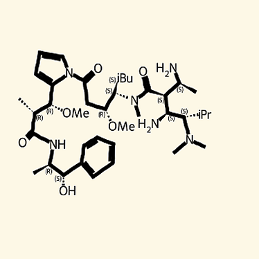 CC[C@H](C)[C@@H]([C@@H](CC(=O)n1cccc1[C@H](OC)[C@@H](C)C(=O)N[C@H](C)[C@@H](O)c1ccccc1)OC)N(C)C(=O)[C@H]([C@H](N)[C@H](C(C)C)N(C)C)[C@H](C)N